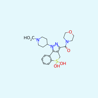 O=C(O)N1CCC(n2nc(C(=O)N3CCOCC3)c3c2-c2ccccc2S(O)(O)C3)CC1